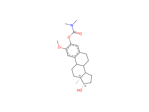 COc1cc2c(cc1OC(=O)N(C)C)CCC1C2CC[C@@]2(C)C1CC[C@@H]2O